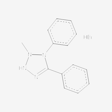 Br.CN1NN=C(c2ccccc2)N1c1ccccc1